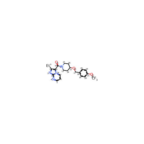 CCc1nc2ncccn2c1C(=O)N1CCC(OCc2ccc(OC(F)(F)F)cc2)CC1